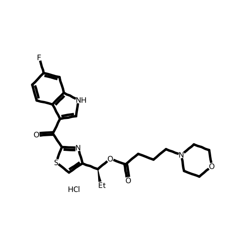 CC[C@H](OC(=O)CCCN1CCOCC1)c1csc(C(=O)c2c[nH]c3cc(F)ccc23)n1.Cl